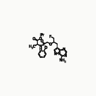 CC(C)OC(=O)[C@H](C)NP(=O)(COC(CF)Cc1cnn2c(N)ncnc12)Oc1ccccc1